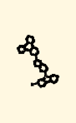 Brc1ccc2c3ccccc3n(-c3ccc4cc(-c5ccc6c7ccccc7c7ccccc7c6c5)ccc4c3)c2c1